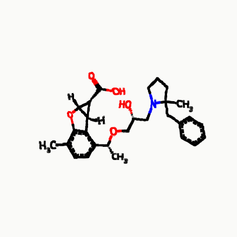 Cc1ccc([C@@H](C)OC[C@H](O)CN2CCCC2(C)Cc2ccccc2)c2c1O[C@@H]1[C@@H](C(=O)O)[C@H]21